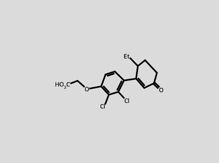 CCC1CCC(=O)C=C1c1ccc(OCC(=O)O)c(Cl)c1Cl